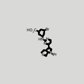 CC(C)n1cc(-c2ccnc(Nc3cc(Br)cc(C(=O)O)c3)n2)c2ccncc21